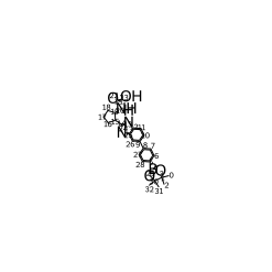 CC1(C)OB(c2ccc(-c3ccc4[nH]c([C@H]5CCC[C@H]5NC(=O)O)nc4c3)cc2)OC1(C)C